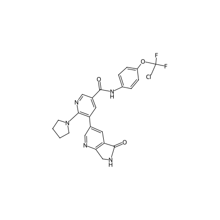 O=C(Nc1ccc(OC(F)(F)Cl)cc1)c1cnc(N2CCCC2)c(-c2cnc3c(c2)C(=O)NC3)c1